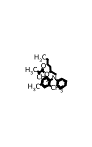 C=C(C)C(=O)OC(CCCC)CN(c1ccccc1)c1ccc(C)cc1C